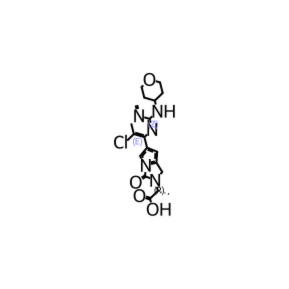 C=N/C(=N\C(=C(/C)Cl)c1cc2n(c1)C(=O)N([C@H](C)C(=O)O)C2)NC1CCOCC1